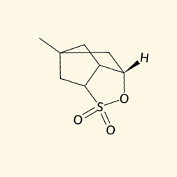 CC12CC3C(C1)S(=O)(=O)O[C@H]3C2